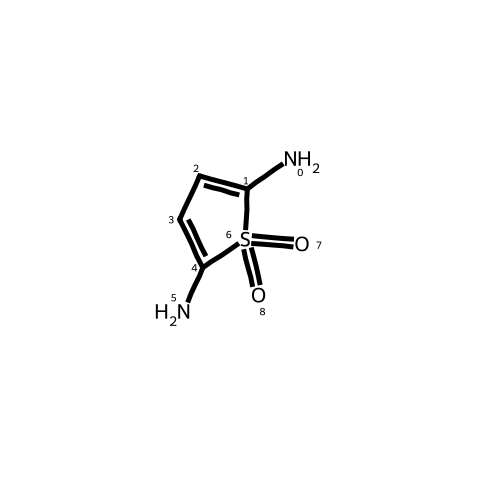 NC1=CC=C(N)S1(=O)=O